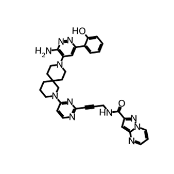 Nc1nnc(-c2ccccc2O)cc1N1CCC2(CCCN(c3ccnc(C#CCNC(=O)c4cc5ncccn5n4)n3)C2)CC1